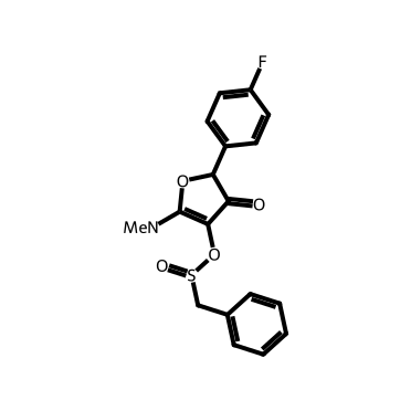 CNC1=C(OS(=O)Cc2ccccc2)C(=O)C(c2ccc(F)cc2)O1